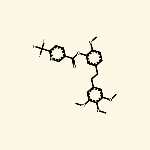 COc1ccc(CCc2cc(OC)c(OC)c(OC)c2)cc1OC(=O)c1ccc(C(F)(F)F)nc1